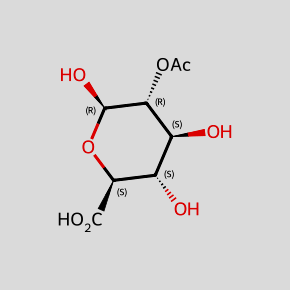 CC(=O)O[C@@H]1[C@@H](O)[C@H](O)[C@@H](C(=O)O)O[C@H]1O